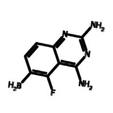 Bc1ccc2nc(N)nc(N)c2c1F